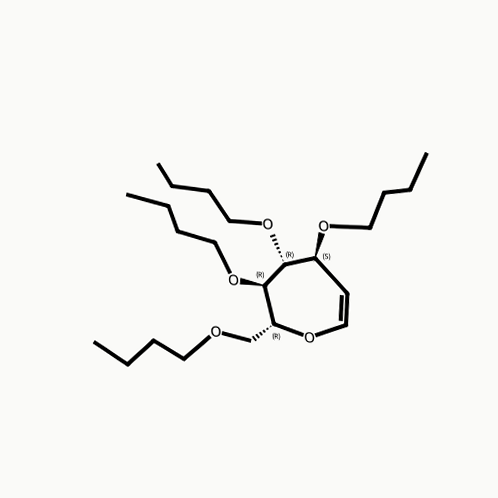 CCCCOC[C@H]1OC=C[C@H](OCCCC)[C@@H](OCCCC)[C@@H]1OCCCC